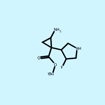 CC(C)(C)OC(=O)C1(C2CNCC2F)CC1N